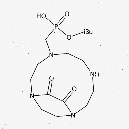 CCC(C)OP(=O)(O)CN1CCNCCN2CCN(CC1)C(=O)C2=O